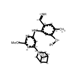 COc1nc(Nc2cc(OC(C)C)c(C)cc2C=N)cc(N2CC3CC(C2)C3C(=O)O)n1